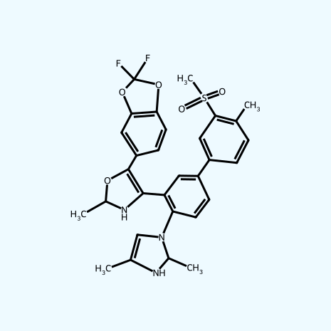 CC1=CN(c2ccc(-c3ccc(C)c(S(C)(=O)=O)c3)cc2C2=C(c3ccc4c(c3)OC(F)(F)O4)OC(C)N2)C(C)N1